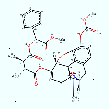 CC(=O)O[C@@H](C(=O)OC1=CC[C@@]2(O)[C@H]3Cc4ccc(OC(=O)OC(C)(C)C)c5c4[C@@]2(CCN3C)[C@H]1O5)[C@@H](OC(C)=O)C(=O)O[C@@H](C(=O)OC(C)(C)C)c1ccccc1